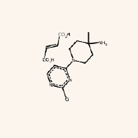 CC1(N)CCN(c2ccnc(Cl)n2)CC1.O=C(O)C=CC(=O)O